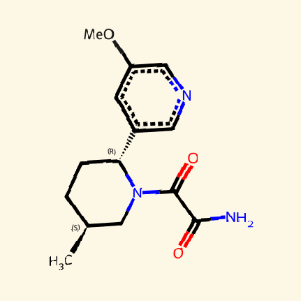 COc1cncc([C@H]2CC[C@H](C)CN2C(=O)C(N)=O)c1